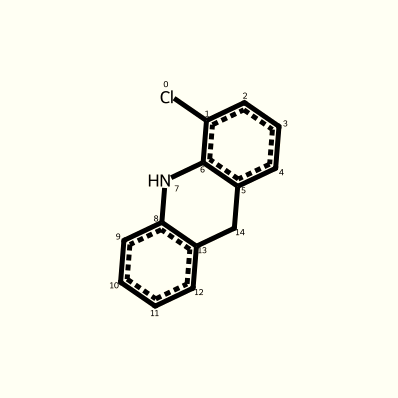 Clc1cccc2c1Nc1ccccc1C2